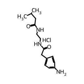 CC(C)CC(=O)NCCNC(=O)Cc1ccc(N)cc1.Cl